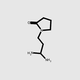 NC(N)CCN1CCCC1=O